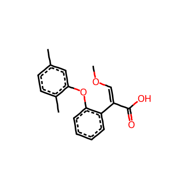 CO/C=C(/C(=O)O)c1ccccc1Oc1cc(C)ccc1C